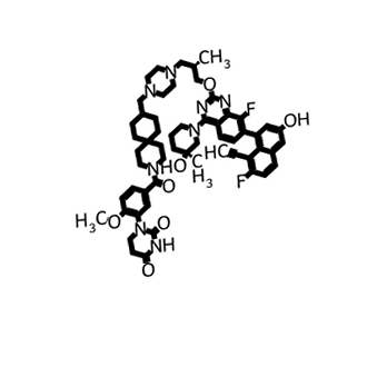 C#Cc1c(F)ccc2cc(O)cc(-c3ccc4c(N5CCC[C@@](C)(O)C5)nc(OC[C@H](C)CN5CCN(CC6CCC7(CC6)CCN(C(=O)c6ccc(OC)c(N8CCC(=O)NC8=O)c6)CC7)CC5)nc4c3F)c12